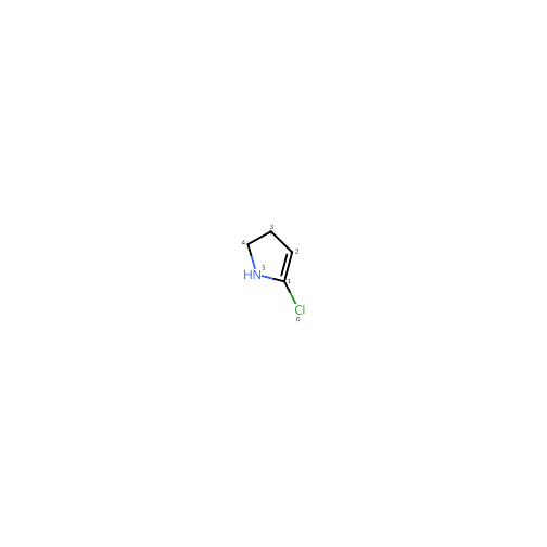 ClC1=C[CH]CN1